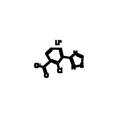 O=C([O-])c1cccc(-c2ncsn2)c1Cl.[Li+]